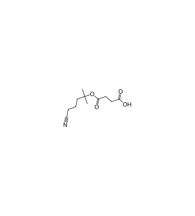 CC(C)(CCCC#N)OC(=O)CCC(=O)O